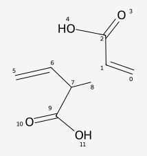 C=CC(=O)O.C=CC(C)C(=O)O